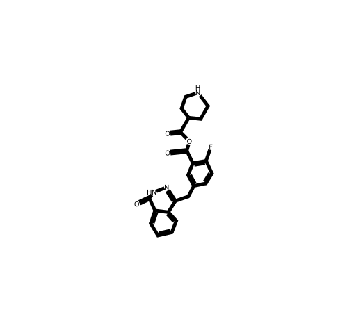 O=C(OC(=O)C1CCNCC1)c1cc(Cc2n[nH]c(=O)c3ccccc23)ccc1F